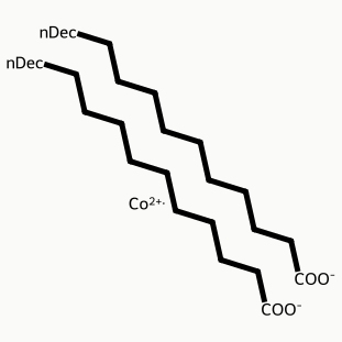 CCCCCCCCCCCCCCCCCCCC(=O)[O-].CCCCCCCCCCCCCCCCCCCC(=O)[O-].[Co+2]